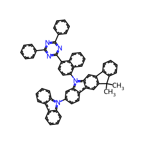 CC1(C)c2ccccc2-c2cc3c(cc21)c1ccc(-n2c4ccccc4c4ccccc42)cc1n3-c1ccc(-c2nc(-c3ccccc3)nc(-c3ccccc3)n2)c2ccccc12